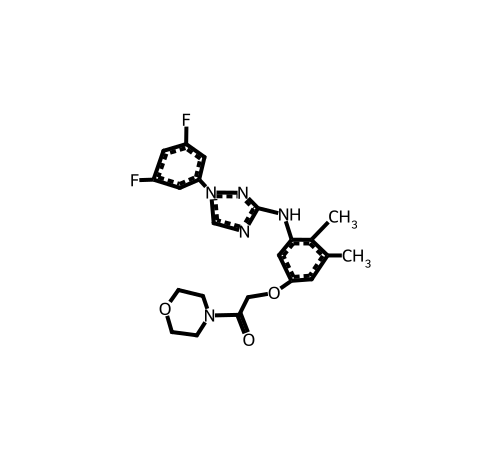 Cc1cc(OCC(=O)N2CCOCC2)cc(Nc2ncn(-c3cc(F)cc(F)c3)n2)c1C